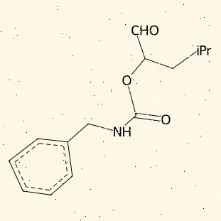 CC(C)CC(C=O)OC(=O)NCc1ccccc1